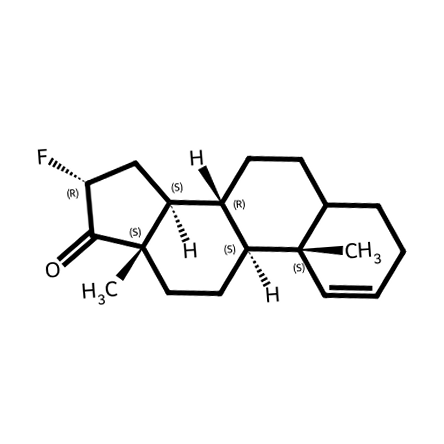 C[C@]12C=CCCC1CC[C@@H]1[C@@H]2CC[C@]2(C)C(=O)[C@H](F)C[C@@H]12